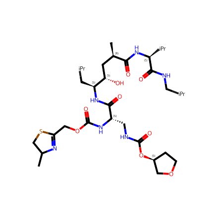 CC(C)CNC(=O)[C@@H](NC(=O)[C@H](C)C[C@H](O)[C@H](CC(C)C)NC(=O)[C@H](CNC(=O)O[C@H]1CCOC1)NC(=O)OCC1=NC(C)CS1)C(C)C